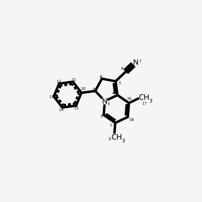 CC1=CN2C(=C(C#N)CC2c2ccccc2)C(C)=C1